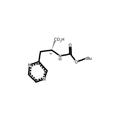 CC(C)(C)OC(=O)N[C@H](Cc1cnccn1)C(=O)O